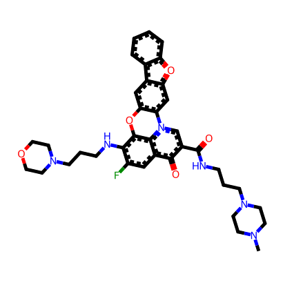 CN1CCN(CCCNC(=O)c2cn3c4c(c(NCCCN5CCOCC5)c(F)cc4c2=O)Oc2cc4c(cc2-3)oc2ccccc24)CC1